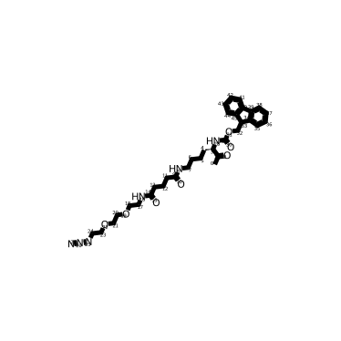 CC(=O)[C@H](CCCCNC(=O)CCCC(=O)NCCOCCOCCN=[N+]=[N-])NC(=O)OCC1c2ccccc2-c2ccccc21